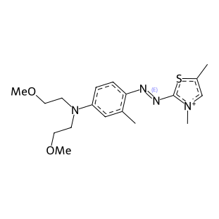 COCCN(CCOC)c1ccc(/N=N/c2sc(C)c[n+]2C)c(C)c1